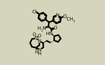 COc1ccc(C(c2ccc(Cl)cc2)C(N)C(=O)N[C@H]2CCC[C@@H]2CC[C@H]2CN[C@@H]3CCCS(=O)(=O)N2C3)cn1